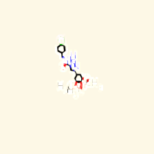 COc1cc(-c2cc(C(=O)NCc3ccc(Cl)cc3)[nH]n2)cc(OC)c1OC